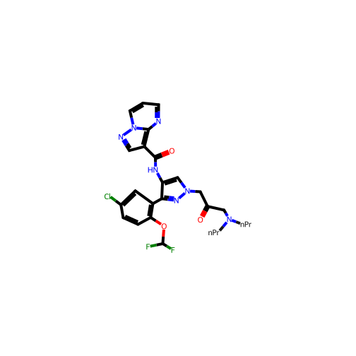 CCCN(CCC)CC(=O)Cn1cc(NC(=O)c2cnn3cccnc23)c(-c2cc(Cl)ccc2OC(F)F)n1